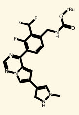 CN1C=C(c2cc3c(-c4ccc(CNC(=O)OC(C)(C)C)c(C(F)F)c4F)ncnn3c2)CN1